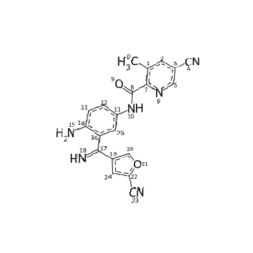 Cc1cc(C#N)cnc1C(=O)Nc1ccc(N)c(C(=N)c2coc(C#N)c2)c1